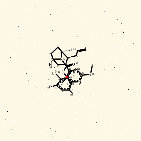 C=CC[C@@H]1[C@@H]2CC[C@H](CN1c1nc(SC)nc3c(F)cc(F)c(Br)c13)N2C(=O)OC(C)(C)C